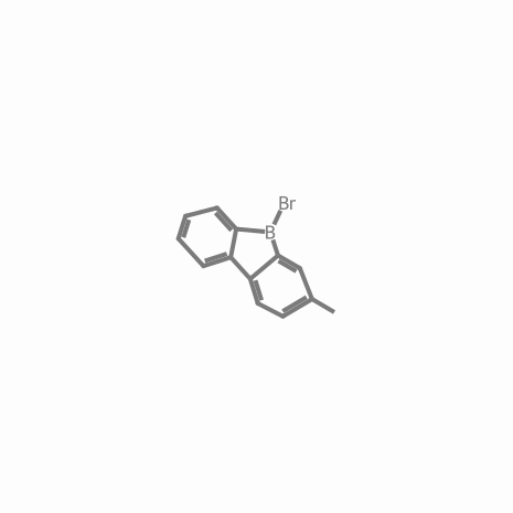 Cc1ccc2c(c1)B(Br)c1ccccc1-2